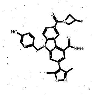 CNC(=O)c1cc(-c2c(C)noc2C)cc2c1c1cc(C(=O)N3CC(F)C3)ccc1n2Cc1ccc(C#N)cc1